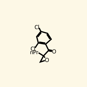 CCCC1(C(=O)c2ccc(Cl)cc2Cl)CO1